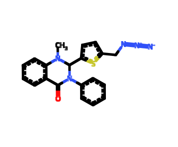 CN1c2ccccc2C(=O)N(c2ccccc2)C1c1ccc(CN=[N+]=[N-])s1